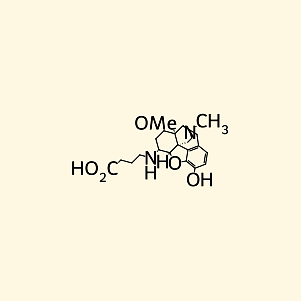 CO[C@@]12CC[C@@H](NCCCC(=O)O)[C@@H]3Oc4c(O)ccc5c4[C@@]31CCN(C)C2C5